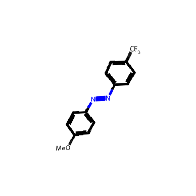 COc1ccc(/N=N/c2ccc(C(F)(F)F)cc2)cc1